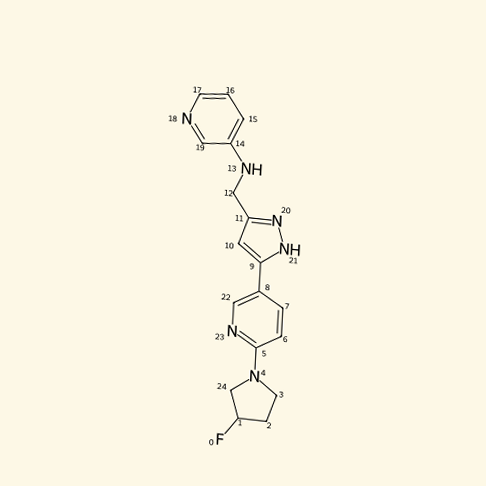 FC1CCN(c2ccc(-c3cc(CNc4cccnc4)n[nH]3)cn2)C1